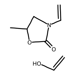 C=CN1CC(C)OC1=O.C=CO